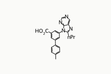 CCCc1nc2cncnc2n1-c1cc(C(=O)O)cc(-c2ccc(C)cc2)c1